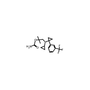 CC(C)(CN(C1CC1)C1(c2cccc(C(F)(F)F)c2)CC1)OC(N)=O